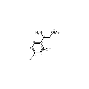 COCC(N)c1ccc(F)cc1.Cl